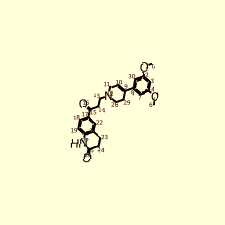 COc1cc(OC)cc(C2=CCN(CCC(=O)c3ccc4c(c3)CCC(=O)N4)CC2)c1